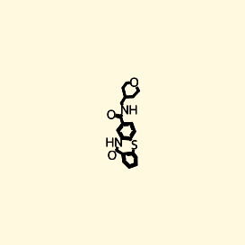 O=C(NCC1CCOCC1)c1ccc2c(c1)NC(=O)c1ccccc1S2